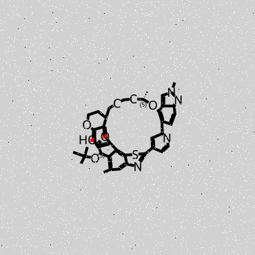 Cc1cc2nc3sc2c(c1[C@H](OC(C)(C)C)C(=O)O)-c1ccc2c(c1)C(CCCC[C@H](C)Oc1c(ccc4nn(C)cc14)-c1cc-3ccn1)CCO2